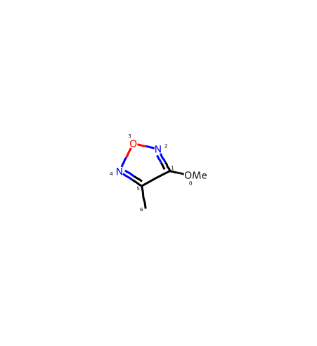 COc1nonc1C